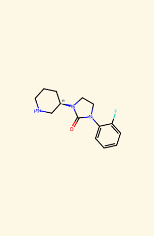 O=C1N(c2ccccc2F)CCN1[C@@H]1CCCNC1